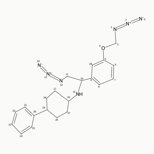 [N-]=[N+]=NCOc1cccc(C(CN=[N+]=[N-])NC2CCC(c3ccccc3)CC2)c1